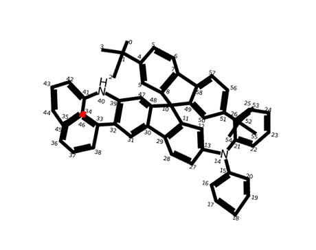 CC(C)(C)c1ccc2c(c1)C1(c3cc(N(c4ccccc4)c4ccccc4)ccc3-c3cc(-c4ccccc4)c(Nc4ccccc4)cc31)c1cc(C(C)(C)C)ccc1-2